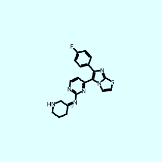 Fc1ccc(-c2nc3sccn3c2-c2ccnc(/N=C3/CCCNC3)n2)cc1